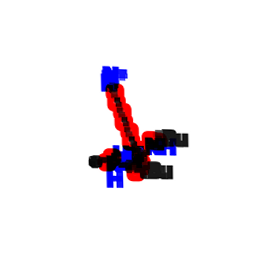 CC(C)(C)OC(=O)NCCCC[C@H](NC(=O)CCOCCOCCOCCOCCOCCOCCN=[N+]=[N-])C(=O)N[C@@H](CCCCNC(=O)OCc1ccccc1)C(=O)OC(C)(C)C